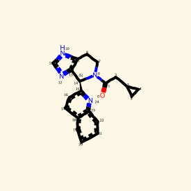 O=C(CC1CC1)N1CCc2[nH]cnc2[C@@H]1c1ccc2ccccc2n1